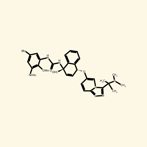 COc1c(NC(C)=O)cc(C(C)(C)C)cc1NC(=O)N[C@@]1(C=O)C=C[C@@H](Oc2ccc3nnc(C(C)(C)N(C)C)n3c2)c2ccccc21